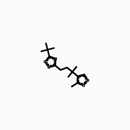 Cc1oncc1C(C)(C)CCc1noc(C(C)(C)C)n1